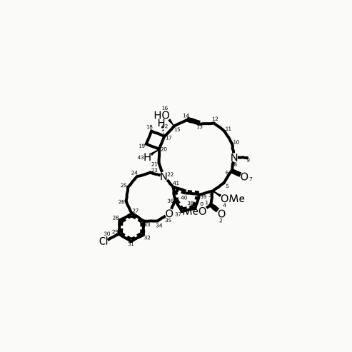 COC(=O)[C@@]1(OC)CC(=O)N(C)CCC/C=C/[C@H](O)[C@@H]2CC[C@H]2CN2CCCCc3cc(Cl)ccc3COc3ccc1cc32